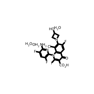 Nc1nc(-n2c(I)c(C(=O)O)c(=O)c3cc(F)c(N4CC(O)C4)c(Cl)c32)c(F)cc1F.O.O.O